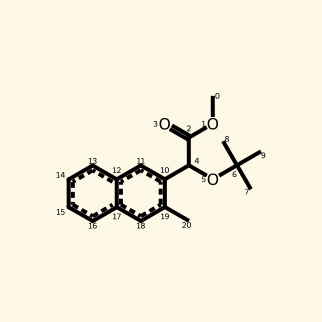 COC(=O)C(OC(C)(C)C)c1cc2ccccc2cc1C